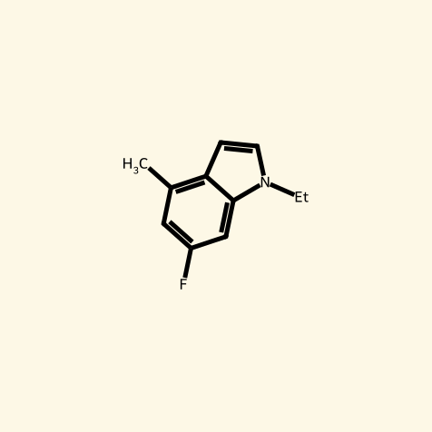 CCn1ccc2c(C)cc(F)cc21